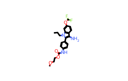 CCCn1c(-c2ccc(NC(=O)OCCOC)cc2)c(N)c2ccc(OC(F)F)cc21